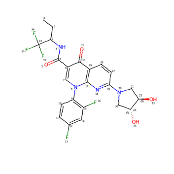 CCC(NC(=O)c1cn(-c2ccc(F)cc2F)c2nc(N3C[C@@H](O)[C@H](O)C3)ccc2c1=O)C(F)(F)F